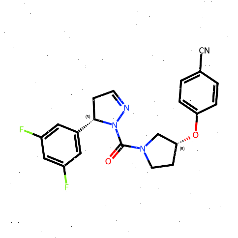 N#Cc1ccc(O[C@@H]2CCN(C(=O)N3N=CC[C@H]3c3cc(F)cc(F)c3)C2)cc1